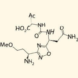 COCC[C@H](N)c1noc([C@H](CC(N)=O)NC(=O)N[C@@H](C(C)=O)C(=O)O)n1